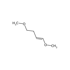 COC=CCCOC